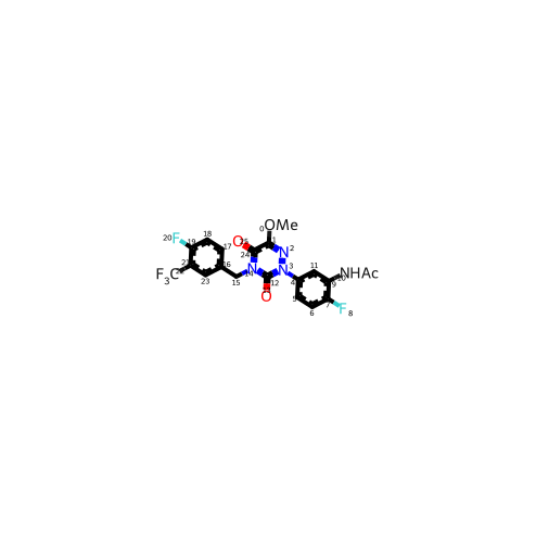 COc1nn(-c2ccc(F)c(NC(C)=O)c2)c(=O)n(Cc2ccc(F)c(C(F)(F)F)c2)c1=O